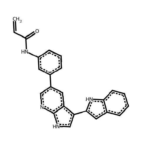 C=CC(=O)Nc1cccc(-c2cnc3[nH]cc(-c4cc5ccccc5[nH]4)c3c2)c1